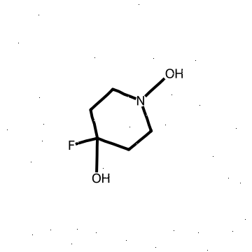 ON1CCC(O)(F)CC1